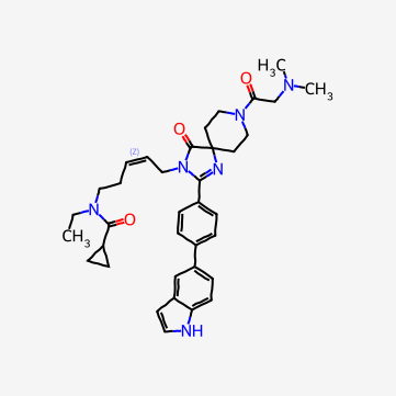 CCN(CC/C=C\CN1C(=O)C2(CCN(C(=O)CN(C)C)CC2)N=C1c1ccc(-c2ccc3[nH]ccc3c2)cc1)C(=O)C1CC1